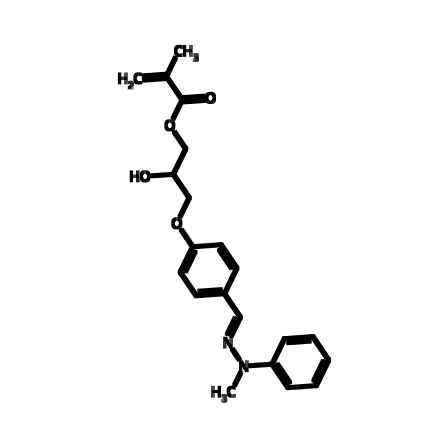 C=C(C)C(=O)OCC(O)COc1ccc(C=NN(C)c2ccccc2)cc1